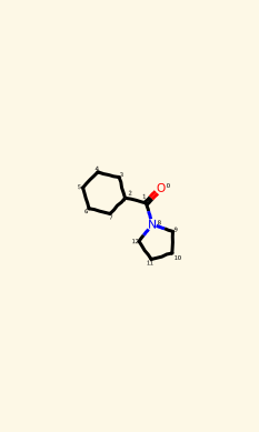 O=C([C]1CCCCC1)N1CCCC1